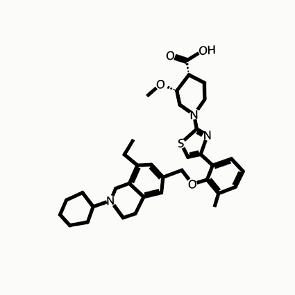 CCc1cc(COc2c(C)cccc2-c2csc(N3CC[C@@H](C(=O)O)[C@@H](OC)C3)n2)cc2c1CN(C1CCCCC1)CC2